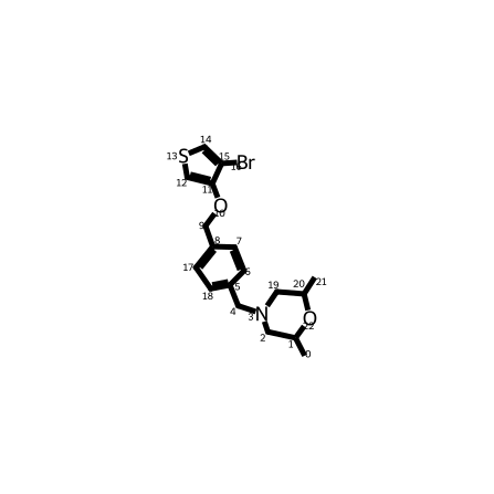 CC1CN(Cc2ccc(COc3cscc3Br)cc2)CC(C)O1